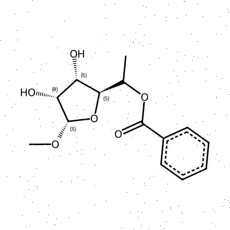 CO[C@H]1O[C@H](C(C)OC(=O)c2ccccc2)[C@@H](O)[C@H]1O